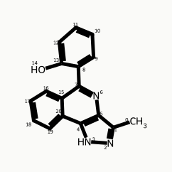 Cc1n[nH]c2c1nc(-c1ccccc1O)c1ccccc12